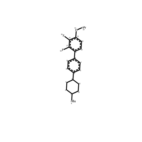 CCCCC1CCC(c2ccc(-c3ccc(OCCC)c(F)c3F)cc2)CC1